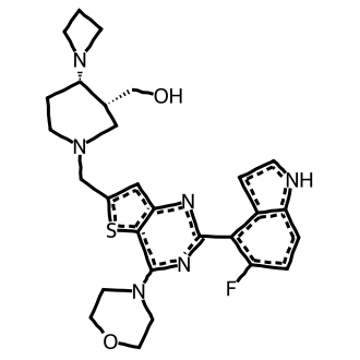 OC[C@@H]1CN(Cc2cc3nc(-c4c(F)ccc5[nH]ccc45)nc(N4CCOCC4)c3s2)CC[C@@H]1N1CCC1